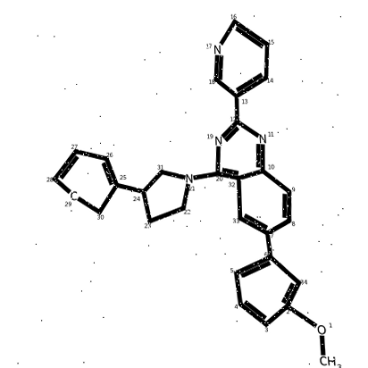 COc1cccc(-c2ccc3nc(-c4cccnc4)nc(N4CCC(C5=CC=CCC5)C4)c3c2)c1